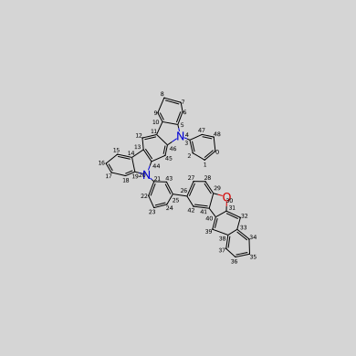 c1ccc(-n2c3ccccc3c3cc4c5ccccc5n(-c5cccc(-c6ccc7oc8cc9ccccc9cc8c7c6)c5)c4cc32)cc1